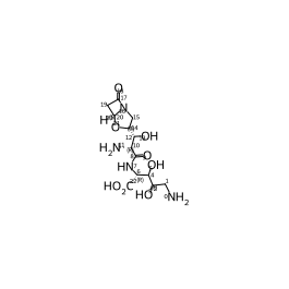 NC[C@@H](O)C(O)[C@@H](NC(=O)[C@H](N)C(O)[C@H]1CN2C(=O)C[C@@H]2O1)C(=O)O